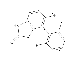 O=C1Cc2c(ccc(F)c2-c2c(F)cccc2F)N1